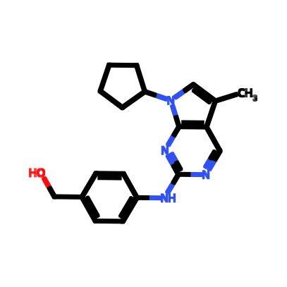 Cc1cn(C2CCCC2)c2nc(Nc3ccc(CO)cc3)ncc12